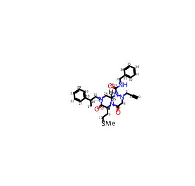 C#CCN1CC(=O)N2[C@@H](CCSC)C(=O)N(CC(C)c3ccccc3)C[C@@H]2N1C(=O)NCc1ccccc1